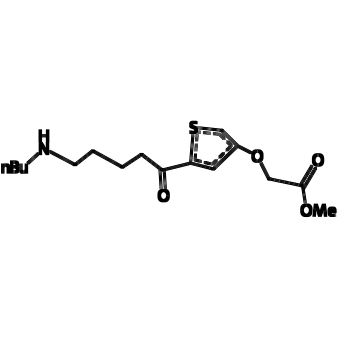 CCCCNCCCCC(=O)c1cc(OCC(=O)OC)cs1